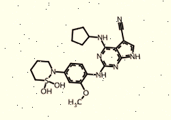 COc1cc(N2CCCCS2(O)O)ccc1Nc1nc(NC2CCCC2)c2c(C#N)c[nH]c2n1